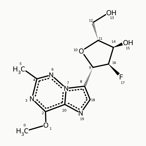 COc1nc(C)nn2c([C@@H]3O[C@H](CO)[C@@H](O)[C@H]3F)cnc12